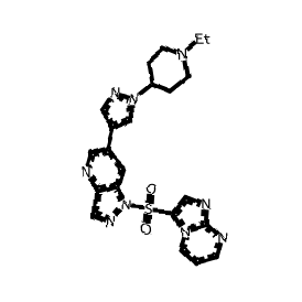 CCN1CCC(n2cc(-c3cnc4cnn(S(=O)(=O)c5cnc6ncccn56)c4c3)cn2)CC1